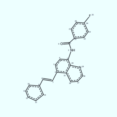 O=C(Nc1ccc(C=Cc2ccccc2)c2cccnc12)c1ccc(F)cc1